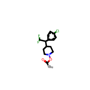 CC(C)(C)C(=O)ON1CCC(C(c2ccc(Cl)cc2)C(F)F)CC1